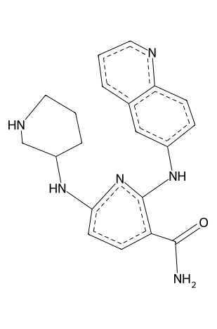 NC(=O)c1ccc(NC2CCCNC2)nc1Nc1ccc2ncccc2c1